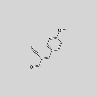 COc1ccc(/C=C(/[C]=O)C#N)cc1